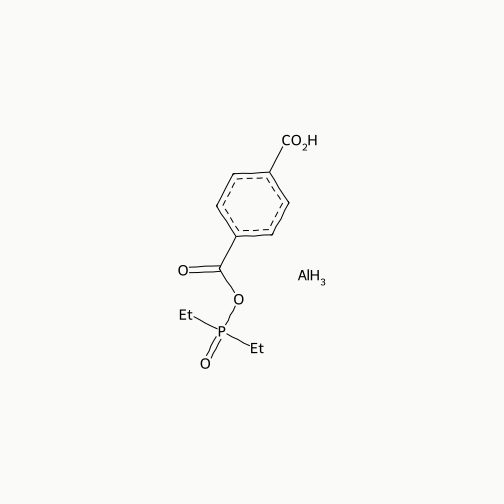 CCP(=O)(CC)OC(=O)c1ccc(C(=O)O)cc1.[AlH3]